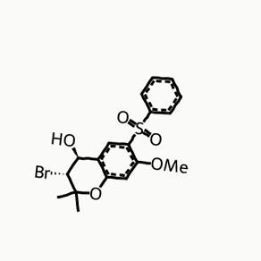 COc1cc2c(cc1S(=O)(=O)c1ccccc1)[C@H](O)[C@@H](Br)C(C)(C)O2